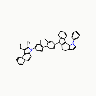 C=Cc1c2c(n(-c3ccc(C4CC=C(C5C6=C(C=CCC6)C6=C5CCc5ccn(-c7ccccc7)c56)C=C4C)c(C)c3)c1CC)C=CC1C=CC#CC21